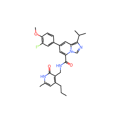 CCCc1cc(C)[nH]c(=O)c1CNC(=O)c1cc(-c2ccc(OC)c(F)c2)cc2c(C(C)C)ncn12